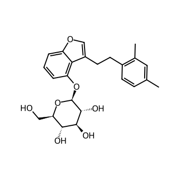 Cc1ccc(CCc2coc3cccc(O[C@@H]4O[C@H](CO)[C@@H](O)[C@H](O)[C@H]4O)c23)c(C)c1